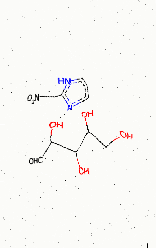 O=CC(O)C(O)C(O)CO.O=[N+]([O-])c1ncc[nH]1